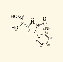 C/C(=N\O)c1cc2c3ccccc3[nH]c(=O)n2n1